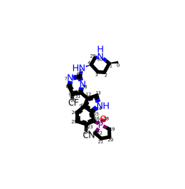 C[C@H]1CC[C@H](Nc2ncc(C(F)(F)F)c(-c3c[nH]c4c(P5(=O)CCCC5)c(C#N)ccc34)n2)CN1